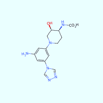 Nc1cc(N2CC[C@H](NC(=O)O)[C@H](O)C2)cc(-n2cnnc2)c1